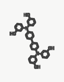 Oc1cccc(N(c2ccc(-c3ccc(N(c4cccc(O)c4)c4cccc(O)c4)cc3)cc2)c2cccc(O)c2)c1